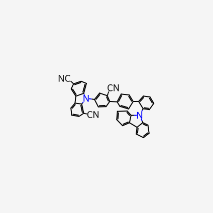 N#Cc1ccc2c(c1)c1cccc(C#N)c1n2-c1ccc(-c2ccc(-c3ccccc3-n3c4ccccc4c4ccccc43)cc2)c(C#N)c1